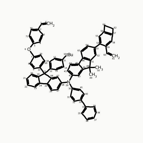 C=Cc1ccc(Oc2ccc(C3(c4ccc(C(C)(C)C)cc4)c4ccccc4-c4ccc(N(c5ccc(-c6ccccc6)cc5)c5ccc6c(c5)C(C)(C)c5cc(-c7cc8c(cc7C=C)CC8)ccc5-6)cc43)cc2)cc1